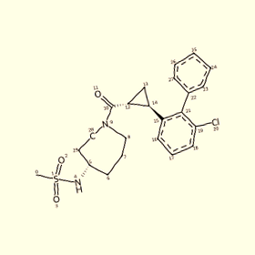 CS(=O)(=O)N[C@H]1CCCN(C(=O)[C@@H]2C[C@H]2c2cccc(Cl)c2-c2ccccc2)CC1